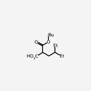 CCC(CC)CC(C(=O)O)C(=O)OC(C)CC